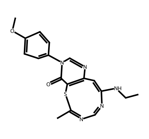 CCNc1cc2ncn(-c3ccc(OC)cc3)c(=O)c2sc(C)ncn1